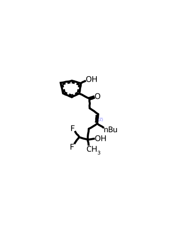 CCCC/C(=C/CC(=O)c1ccccc1O)CC(C)(O)C(F)F